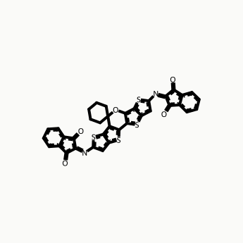 O=c1c(=Nc2cc3sc4c(c3s2)OC2(CCCCC2)c2c-4sc3cc(N=c4c(=O)c5ccccc5c4=O)sc23)c(=O)c2ccccc12